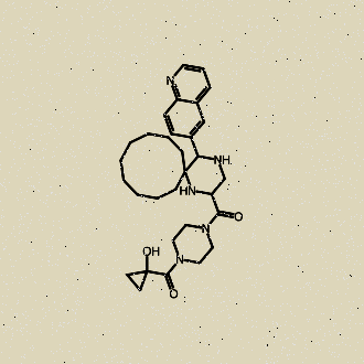 O=C(C1CNC(c2ccc3ncccc3c2)C2(CCCCCCCCC2)N1)N1CCN(C(=O)C2(O)CC2)CC1